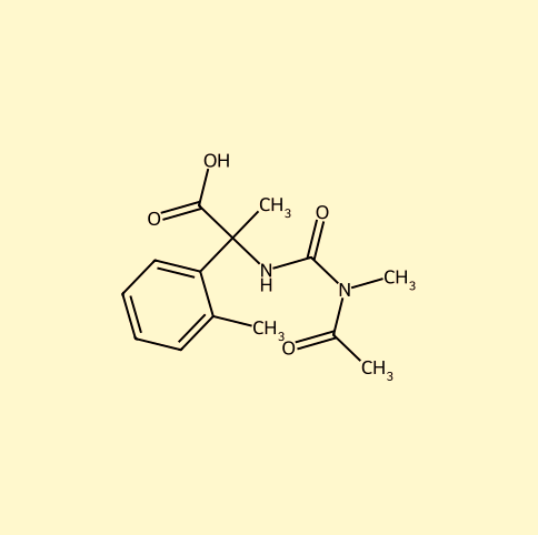 CC(=O)N(C)C(=O)NC(C)(C(=O)O)c1ccccc1C